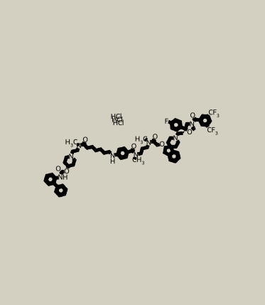 CN(CCN1CCC(OC(=O)Nc2ccccc2-c2ccccc2)CC1)C(=O)CCCCCCNc1ccc(C(=O)N(C)CCCN(C)C(=O)CO[C@H]2Cc3ccccc3C23CCN(CC[C@]2(c4ccc(F)cc4)CN(C(=O)c4cc(C(F)(F)F)cc(C(F)(F)F)c4)CO2)CC3)cc1.Cl.Cl.Cl